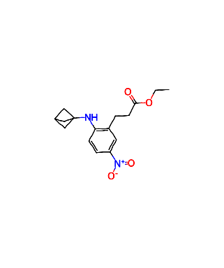 CCOC(=O)CCc1cc([N+](=O)[O-])ccc1NC12CC(C1)C2